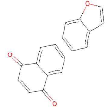 O=C1C=CC(=O)c2ccccc21.c1ccc2occc2c1